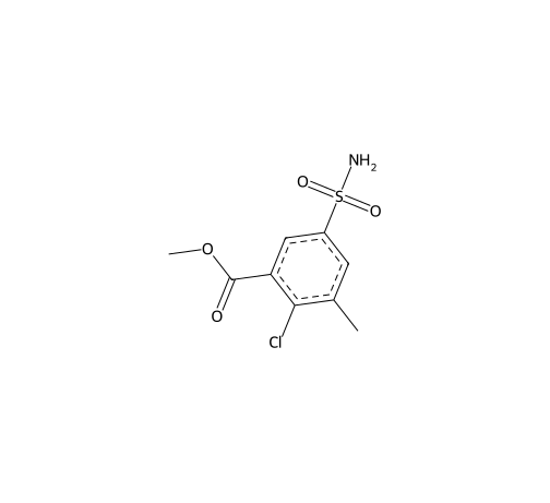 COC(=O)c1cc(S(N)(=O)=O)cc(C)c1Cl